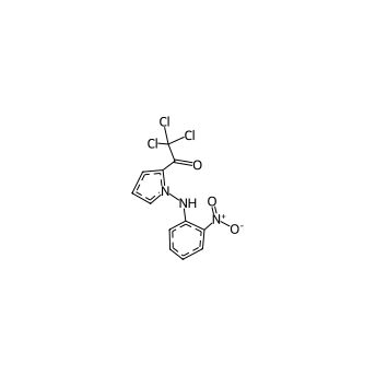 O=C(c1cccn1Nc1ccccc1[N+](=O)[O-])C(Cl)(Cl)Cl